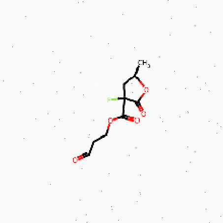 CC1CC(F)(C(=O)OCCC=O)C(=O)O1